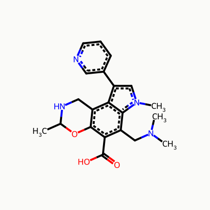 CC1NCc2c(c(C(=O)O)c(CN(C)C)c3c2c(-c2cccnc2)cn3C)O1